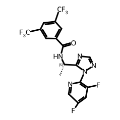 C[C@H](NC(=O)c1cc(C(F)(F)F)cc(C(F)(F)F)c1)c1ncnn1-c1ncc(F)cc1F